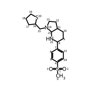 CS(=O)(=O)c1ccc(C2CCC3CCN(CC4CCCS4)C3N2)cc1